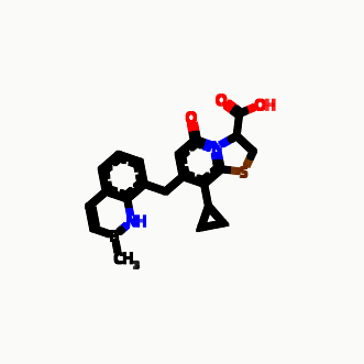 CB1C=Cc2cccc(Cc3cc(=O)n4c(c3C3CC3)SCC4C(=O)O)c2N1